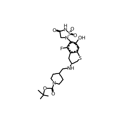 CC(C)(C)OC(=O)N1CCC(CN[C@@H]2CSc3cc(O)c(N4CC(=O)NS4(=O)=O)c(F)c3C2)CC1